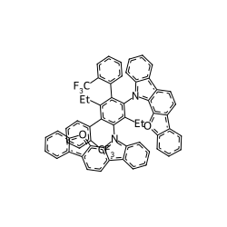 CCc1c(-c2ccccc2C(F)(F)F)c(-n2c3ccccc3c3ccc4c5ccccc5oc4c32)c(CC)c(-n2c3ccccc3c3ccc4c5ccccc5oc4c32)c1-c1ccccc1C(F)(F)F